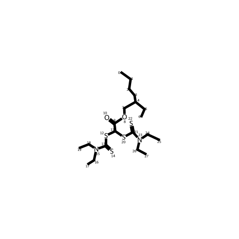 CCCCC(CC)COC(=O)C(SC(=S)N(CC)CC)SC(=S)N(CC)CC